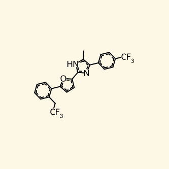 Cc1[nH]c(-c2ccc(-c3ccccc3CC(F)(F)F)o2)nc1-c1ccc(C(F)(F)F)cc1